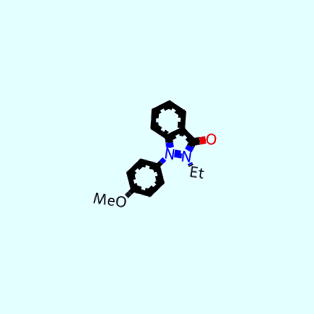 CCn1c(=O)c2ccccc2n1-c1ccc(OC)cc1